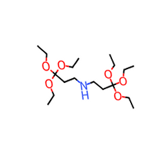 CCOC(CCNCCC(OCC)(OCC)OCC)(OCC)OCC